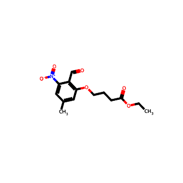 CCOC(=O)CCCOc1cc(C)cc([N+](=O)[O-])c1C=O